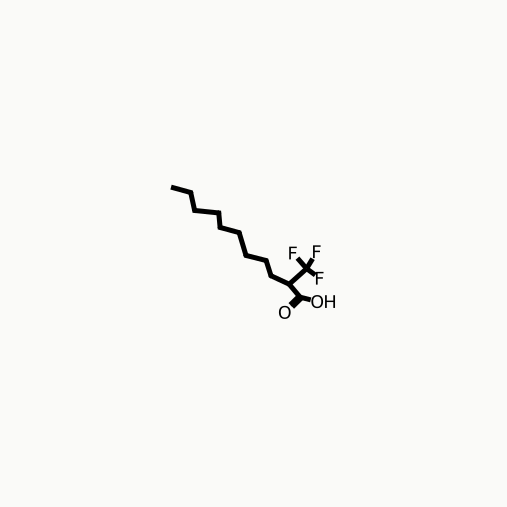 CCCCCCCCCC(C(=O)O)C(F)(F)F